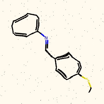 CSc1ccc(C=Nc2ccccc2)cc1